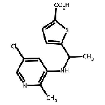 Cc1ncc(Cl)cc1NC(C)c1ccc(C(=O)O)s1